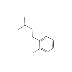 CC(C)CCc1ccccc1I